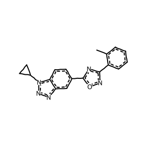 Cc1ccccc1-c1noc(-c2ccc3c(c2)nnn3C2CC2)n1